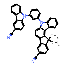 CC1(C)c2ccc(C#N)cc2-c2ccc3c(c21)c1ccccc1n3-c1cccc(-n2c3ccccc3c3cc(C#N)ccc32)c1